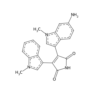 Cn1cc(C2=C(c3cn(C)c4cc(N)ccc34)C(=O)NC2=O)c2ccccc21